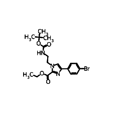 CCOC(=O)c1nc(-c2ccc(Br)cc2)cn1CCNC(=O)OC(C)(C)C